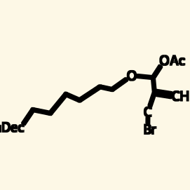 C=C(CBr)C(OCCCCCCCCCCCCCCCC)OC(C)=O